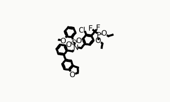 CCOP(OCC)C(F)(F)c1ccc(CN(Cc2ccccc2-c2ccc3c(c2)CCO3)S(=O)(=O)c2ccccc2OC)cc1Cl